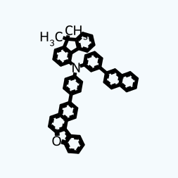 CC1(C)c2ccccc2-c2c(N(c3ccc(-c4ccc5c(ccc6oc7ccccc7c65)c4)cc3)c3cccc(-c4ccc5ccccc5c4)c3)cccc21